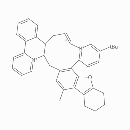 Cc1cc2c(c3oc4c(c13)CCCC4)-c1ccc(C(C)(C)C)c[n+]1/C=C/CC1c3ccccc3-c3cccc[n+]3C1C2